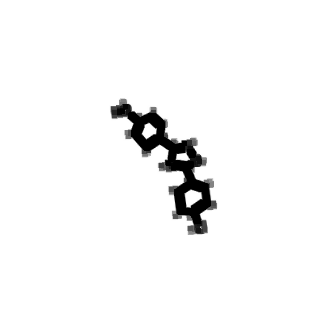 Oc1ccc(-c2noc(-c3ccc(Cl)cc3)n2)cc1